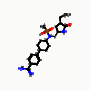 CS(=O)(=O)N(C[C@@H]1C[C@@H](CC(=O)O)C(=O)N1)[C@H]1CC[C@H](c2ccc(C(=N)N)cc2)CC1